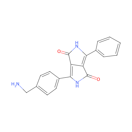 NCc1ccc(C2=C3C(=O)NC(c4ccccc4)=C3C(=O)N2)cc1